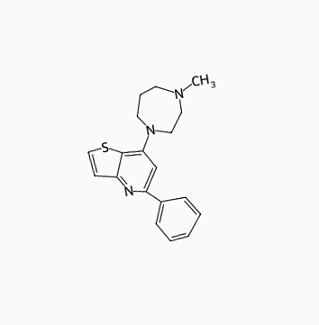 CN1CCCN(c2cc(-c3ccccc3)nc3ccsc23)CC1